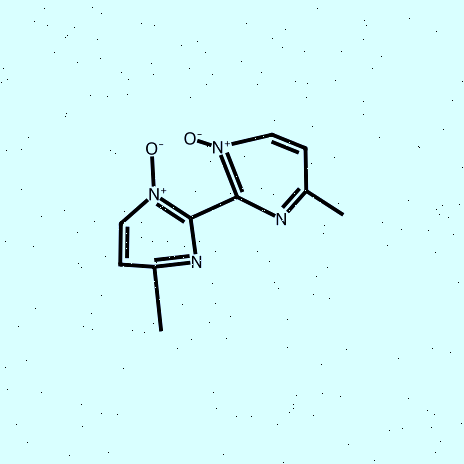 Cc1cc[n+]([O-])c(-c2nc(C)cc[n+]2[O-])n1